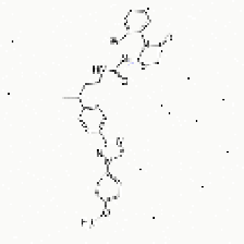 CC(C)c1ccccc1N1C(=O)CS/C1=N\C(=O)NCCC(C)c1ccc(-c2ncn(-c3ccc(OC(F)(F)F)cc3)n2)cc1